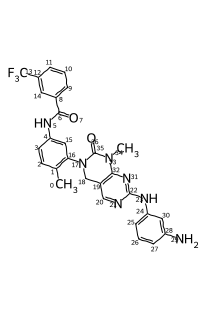 Cc1ccc(NC(=O)c2cccc(C(F)(F)F)c2)cc1N1Cc2cnc(Nc3cccc(N)c3)nc2N(C)C1=O